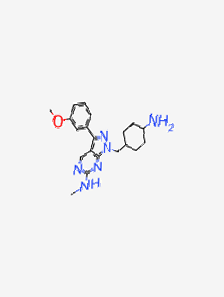 CNc1ncc2c(-c3cccc(OC)c3)nn(CC3CCC(N)CC3)c2n1